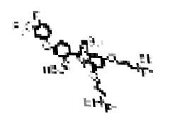 CCCCOc1cc(Oc2ccc(F)c(C(F)(F)F)c2)ccc1-c1nc2c(OCCCN(CC)CC)cc(OCCCN(CC)CC)cc2n1CCCC